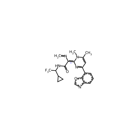 C=N/C(C(=O)NC(C1CC1)C(F)(F)F)=C1/N=C(c2cccc3ncoc23)C=C(C)N1C